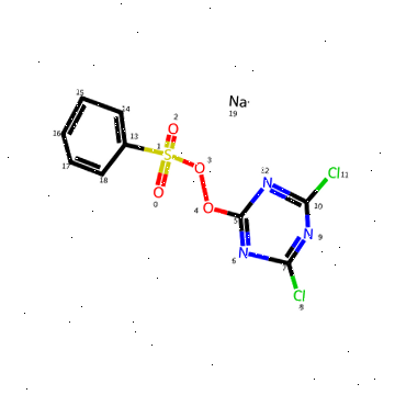 O=S(=O)(OOc1nc(Cl)nc(Cl)n1)c1ccccc1.[Na]